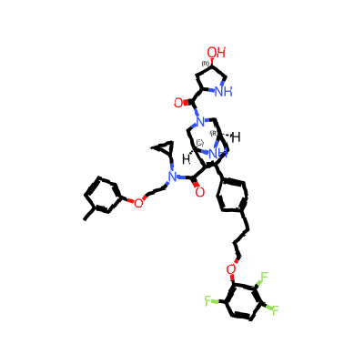 Cc1cccc(OCCN(C(=O)C2=C(c3ccc(CCCOc4c(F)ccc(F)c4F)cc3)C[C@@H]3CN(C(=O)C4C[C@@H](O)CN4)C[C@H]2N3)C2CC2)c1